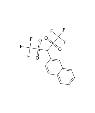 O=S(=O)(C(c1ccc2ccccc2c1)S(=O)(=O)C(F)(F)F)C(F)(F)F